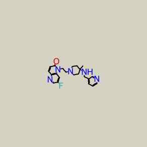 CC1(NCc2cccnc2)CCN(CCn2c(=O)ccc3ncc(F)cc32)CC1